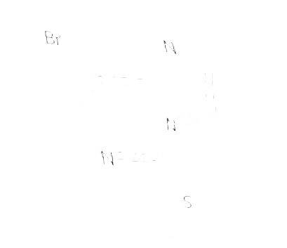 CSc1ncc(Br)c2ncc(C)n12